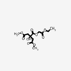 CCOC(=O)COC(=O)C(O)(CC(=O)OC)CC(=O)OC